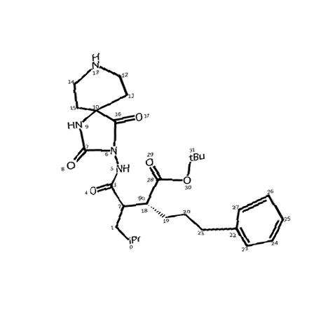 CC(C)CC(C(=O)NN1C(=O)NC2(CCNCC2)C1=O)[C@@H](CCCc1ccccc1)C(=O)OC(C)(C)C